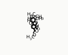 COCc1occ2c1CC[C@@]1(C)[C@H]2C2C[C@@]3(O2)[C@H](O)[C@@]2(C(C)C)O[C@H]2[C@@H]2O[C@]213